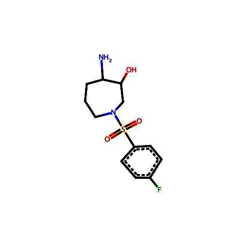 NC1CCCN(S(=O)(=O)c2ccc(F)cc2)CC1O